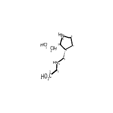 Cl.Cl.O=C(O)CNC[C@H]1CCNC1